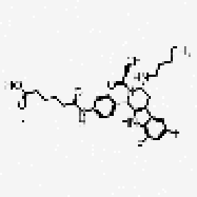 C#CC(=O)N1[C@@H](c2ccc(NC(=O)CCCCC(=O)O)cc2)c2[nH]c3c(F)cc(F)cc3c2C[C@@H]1NCCCC